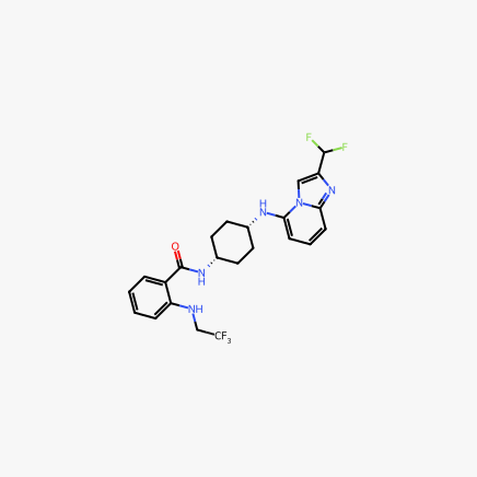 O=C(N[C@H]1CC[C@@H](Nc2cccc3nc(C(F)F)cn23)CC1)c1ccccc1NCC(F)(F)F